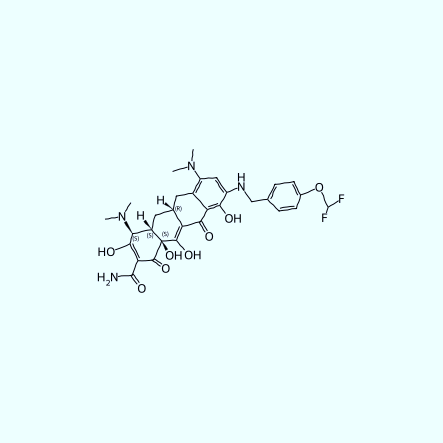 CN(C)c1cc(NCc2ccc(OC(F)F)cc2)c(O)c2c1C[C@H]1C[C@H]3[C@H](N(C)C)C(O)=C(C(N)=O)C(=O)[C@@]3(O)C(O)=C1C2=O